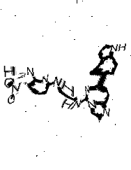 Nc1nc(NCCNc2nc(-c3ccc4[nH]ccc4c3)cc3nccn23)ccc1[N+](=O)[O-]